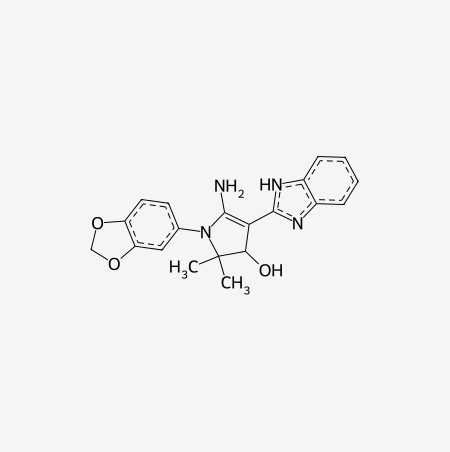 CC1(C)C(O)C(c2nc3ccccc3[nH]2)=C(N)N1c1ccc2c(c1)OCO2